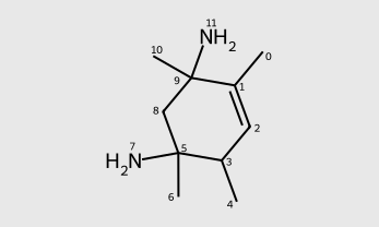 CC1=CC(C)C(C)(N)CC1(C)N